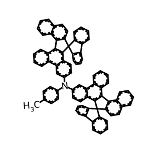 Cc1ccc(N(c2ccc3c4c(c5ccccc5c3c2)-c2c(ccc3ccccc23)C42c3ccccc3-c3ccccc32)c2ccc3c4c(c5ccccc5c3c2)-c2c(ccc3ccccc23)C42c3ccccc3-c3ccccc32)cc1